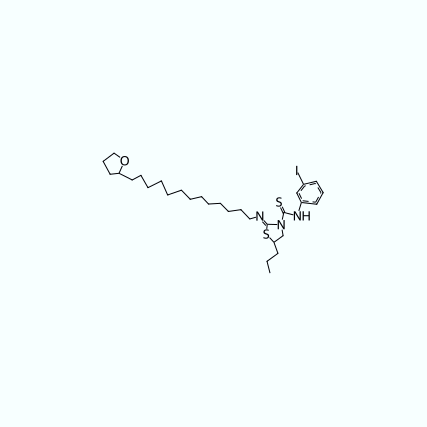 CCCC1CN(C(=S)Nc2cccc(I)c2)C(=NCCCCCCCCCCCCCC2CCCO2)S1